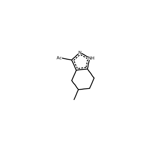 CC(=O)c1n[nH]c2c1CC(C)CC2